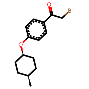 C[C@H]1CC[C@@H](Oc2ccc(C(=O)CBr)cc2)CC1